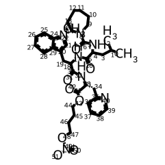 CC(C)CC(NC(=O)N1CCCCCC1)C(=O)NC(Cc1cn(C)c2ccccc12)C(=O)N[C@H](Cc1ccccn1)C(=O)OCCCCO[N+](=O)[O-]